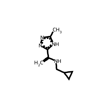 C=C(NCC1CC1)c1nnc(C)[nH]1